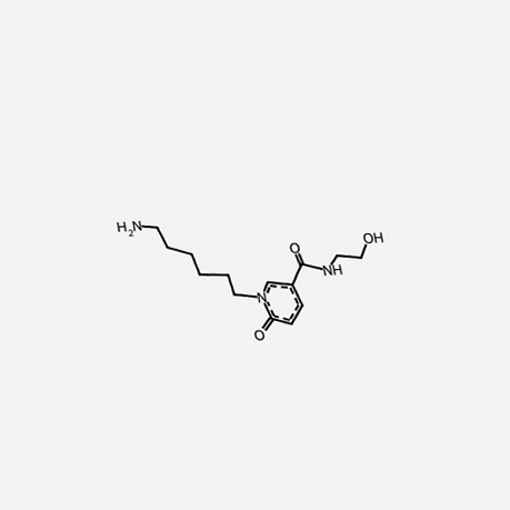 NCCCCCCn1cc(C(=O)NCCO)ccc1=O